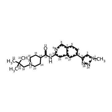 Cn1cc(-c2ccc3cnc(NC(=O)C4CCN(CC(C)(C)C)CC4)cc3c2)nn1